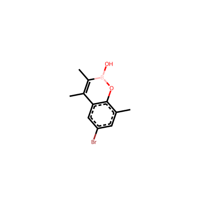 CC1=C(C)c2cc(Br)cc(C)c2OB1O